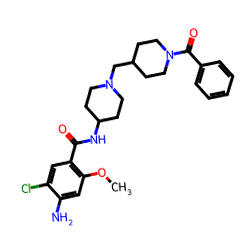 COc1cc(N)c(Cl)cc1C(=O)NC1CCN(CC2CCN(C(=O)c3ccccc3)CC2)CC1